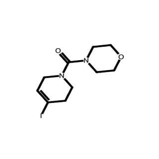 O=C(N1CC=C(I)CC1)N1CCOCC1